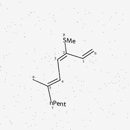 C=C/C(=C\C=C(/C)CCCCC)SC